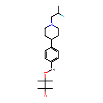 CC(F)CN1CCC(c2ccc(BOC(C)(C)C(C)(C)O)cc2)CC1